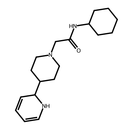 O=C(CN1CCC(C2C=CC=CN2)CC1)NC1CCCCC1